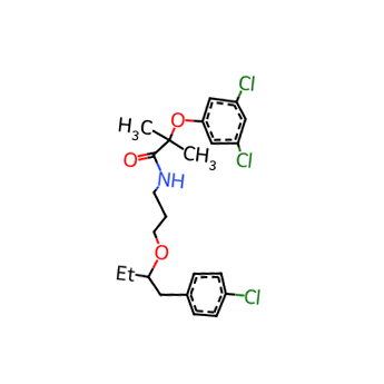 CCC(Cc1ccc(Cl)cc1)OCCCNC(=O)C(C)(C)Oc1cc(Cl)cc(Cl)c1